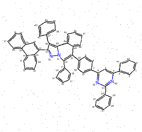 c1ccc(-c2cc(-c3ccc(-c4c(-c5ccccc5)n5nc(-c6cc7ccccc7c7ccccc67)c(-c6ccccc6)c5c5ccccc45)cc3)nc(-c3ccccc3)n2)cc1